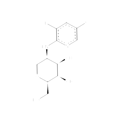 OC[C@H]1OC[C@@H](Nc2ncc(Cl)cc2F)[C@@H](O)[C@H]1O